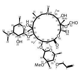 C=CCO[C@H]1[C@H](C)OC(O[C@H]2[C@H](C)[C@@H](O[C@@H]3O[C@H](C)C[C@H](N(C)C)[C@H]3O)[C@](C)(O)C[C@@H](C)CN(C)[C@H](C)[C@H](O)[C@](C)(OC=O)[C@@H](CC)OC(=O)[C@@H]2C)C[C@@]1(C)OC